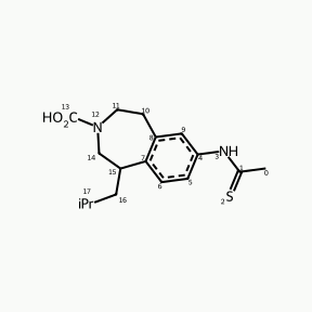 CC(=S)Nc1ccc2c(c1)CCN(C(=O)O)CC2CC(C)C